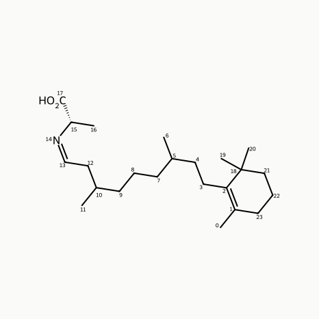 CC1=C(CCC(C)CCCC(C)C/C=N\[C@@H](C)C(=O)O)C(C)(C)CCC1